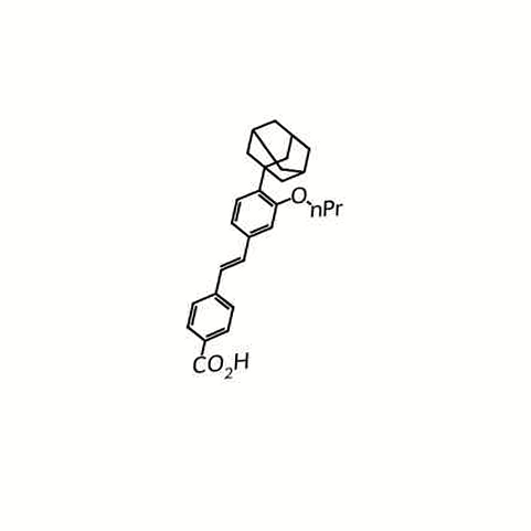 CCCOc1cc(C=Cc2ccc(C(=O)O)cc2)ccc1C12CC3CC(CC(C3)C1)C2